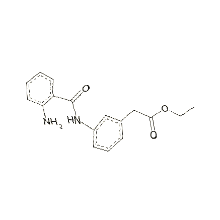 CCOC(=O)Cc1cccc(NC(=O)c2ccccc2N)c1